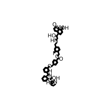 O=C(OCc1ccc(CCNC[C@H](O)c2ccc(O)c3[nH]c(=O)ccc23)cc1F)c1ccc(COc2cccc([C@@H](NC(O)O[C@H]3CN4CCC3CC4)c3ccccc3)c2)cc1